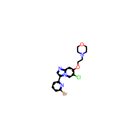 Clc1cn2c(-c3cccc(Br)n3)cnc2cc1OCCN1CCOCC1